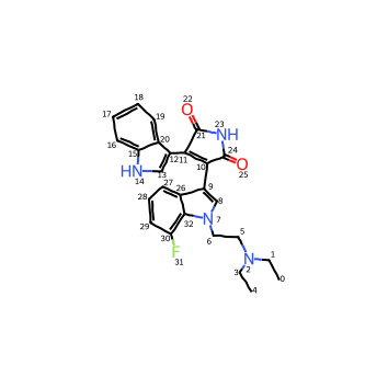 CCN(CC)CCn1cc(C2=C(c3c[nH]c4ccccc34)C(=O)NC2=O)c2cccc(F)c21